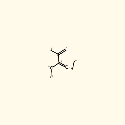 C=C(C)C(=O)OC.CC